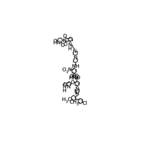 CC1(C)CCC(CN2CCN(c3ccc(C(=O)NS(=O)(=O)c4ccc(NCC5CCN(C6CCN(CCCNc7cccc8c7C(=O)N(C7CCC(=O)NC7=O)C8=O)CC6)CC5)c([N+](=O)[O-])c4)c(Oc4cnc5[nH]ccc5c4)c3)CC2)=C(c2ccc(Cl)cc2)C1